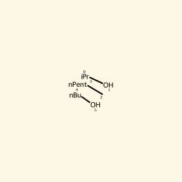 CC(C)O.CCCCCC.CCCCO